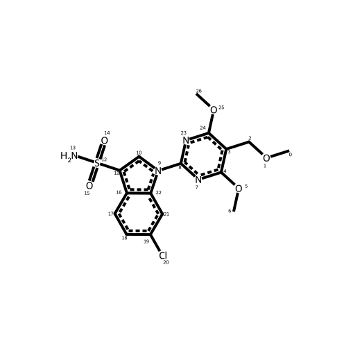 COCc1c(OC)nc(-n2cc(S(N)(=O)=O)c3ccc(Cl)cc32)nc1OC